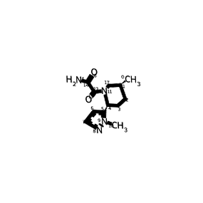 C[C@@H]1CC[C@H](c2ccnn2C)N(C(=O)C(N)=O)C1